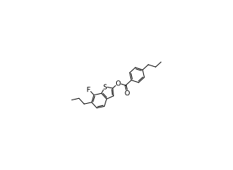 CCCc1ccc(C(=O)Oc2cc3ccc(CCC)c(F)c3s2)cc1